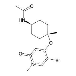 CC(=O)N[C@H]1CC[C@](C)(Oc2cc(=O)n(C)cc2Br)CC1